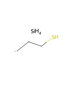 [CH2]CCS.[SiH4]